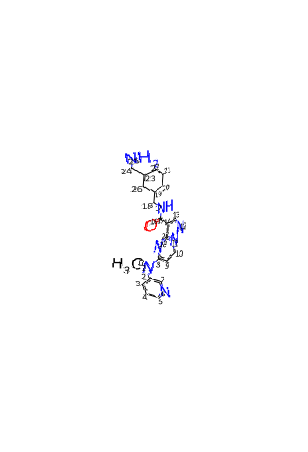 CN(c1cccnc1)c1ccn2ncc(C(=O)NCC3CCCC(CN)C3)c2n1